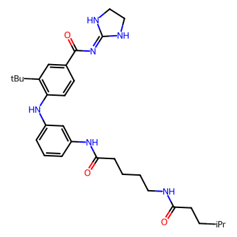 CC(C)CCC(=O)NCCCCC(=O)Nc1cccc(Nc2ccc(C(=O)N=C3NCCN3)cc2C(C)(C)C)c1